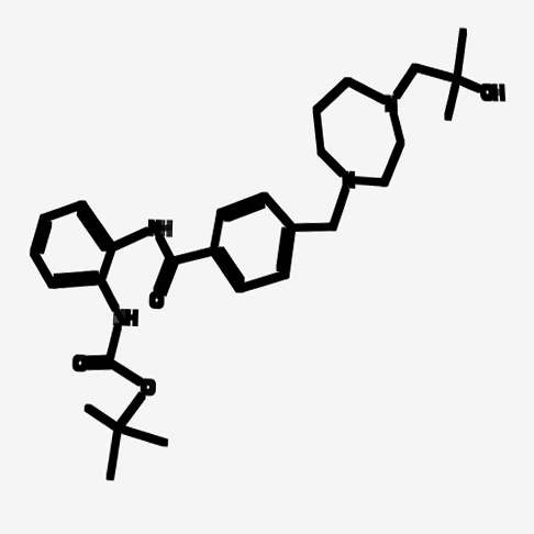 CC(C)(O)CN1CCCN(Cc2ccc(C(=O)Nc3ccccc3NC(=O)OC(C)(C)C)cc2)CC1